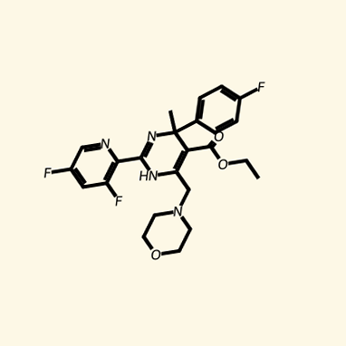 CCOC(=O)C1=C(CN2CCOCC2)NC(c2ncc(F)cc2F)=NC1(C)c1ccc(F)cc1